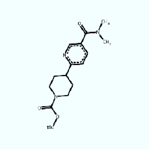 CN(C)C(=O)c1ccc(C2CCN(C(=O)OC(C)(C)C)CC2)nc1